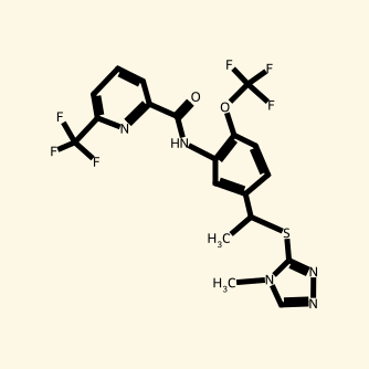 CC(Sc1nncn1C)c1ccc(OC(F)(F)F)c(NC(=O)c2cccc(C(F)(F)F)n2)c1